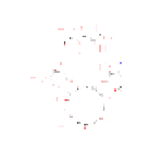 CC[C@H]1OC(=O)[C@H](C)[C@@H](O[C@H]2C[C@@](C)(OC)[C@@H](O)[C@H](C)O2)[C@H](C)[C@@H](O[C@@H]2O[C@H](C)C[C@H](N(C)C)[C@H]2O)[C@](C)(O)C[C@@H](C)C(=O)[C@H](C)[C@@H](O)[C@]1(C)O.O=C(O)[C@H](O)[C@@H](O)[C@H](O)[C@H](O)CO